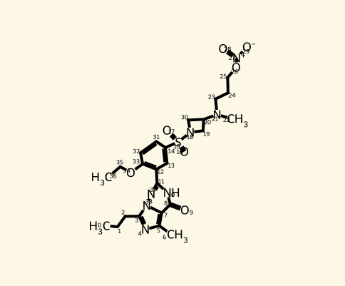 CCCc1nc(C)c2c(=O)[nH]c(-c3cc(S(=O)(=O)N4CC(N(C)CCCO[N+](=O)[O-])C4)ccc3OCC)nn12